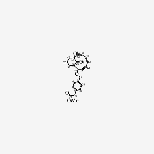 COC(=O)Cc1ccc(COC2C#C/C=C\C#CC3(O)CCC=C2C3=O)cc1